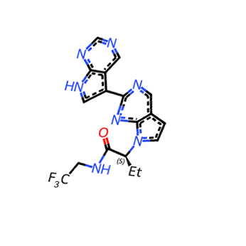 CC[C@@H](C(=O)NCC(F)(F)F)n1ccc2cnc(-c3c[nH]c4ncncc34)nc21